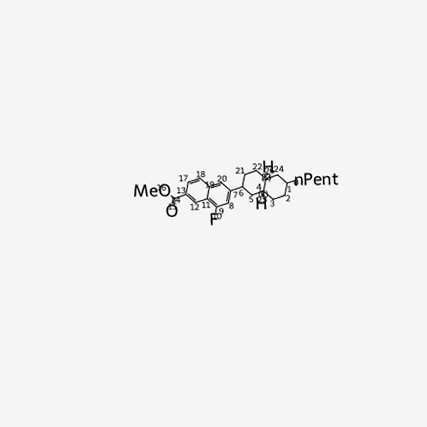 CCCCCC1CC[C@@H]2CC(c3cc(F)c4cc(C(=O)OC)ccc4c3)CC[C@H]2C1